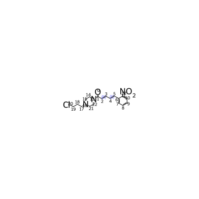 O=C(/C=C/C=C/c1ccccc1[N+](=O)[O-])N1CCN(CCCCl)CC1